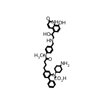 CN(C(=O)CCCc1ccc(-c2ccccc2)c(N(C(=O)O)C2CCC(N)CC2)c1)c1ccc(CNC[C@@H](O)c2ccc(O)c3[nH]c(=O)ccc23)cc1